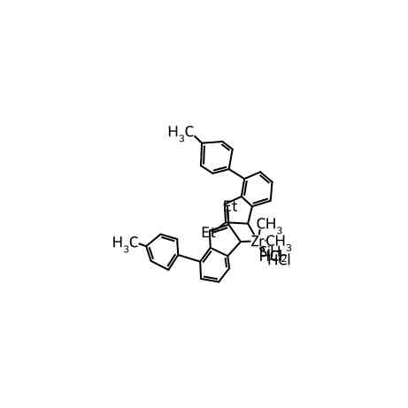 CCC1=Cc2c(-c3ccc(C)cc3)cccc2[CH]1[Zr]([CH3])([CH3])(=[SiH2])[CH]1C(CC)=Cc2c(-c3ccc(C)cc3)cccc21.Cl.Cl